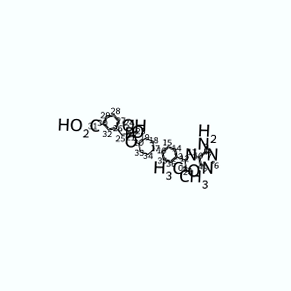 CC1(C)Oc2ncnc(N)c2N=C1c1ccc([C@H]2CC[C@H](OP(=O)(O)Cc3cccc(C(=O)O)c3)CC2)cc1